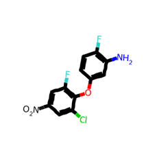 Nc1cc(Oc2c(F)cc([N+](=O)[O-])cc2Cl)ccc1F